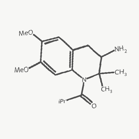 COc1cc2c(cc1OC)N(C(=O)C(C)C)C(C)(C)C(N)C2